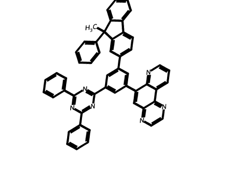 CC1(c2ccccc2)c2ccccc2-c2ccc(-c3cc(-c4nc(-c5ccccc5)nc(-c5ccccc5)n4)cc(-c4cc5nccnc5c5cccnc45)c3)cc21